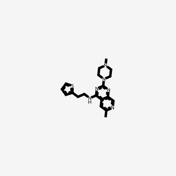 Cc1cc2c(NCCc3cccs3)nc(N3CCN(C)CC3)nc2cn1